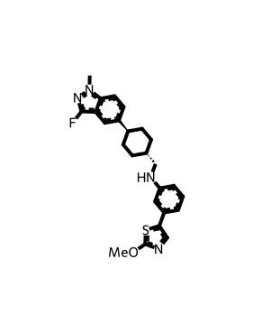 COc1ncc(-c2cccc(NC[C@H]3CC[C@H](c4ccc5c(c4)c(F)nn5C)CC3)c2)s1